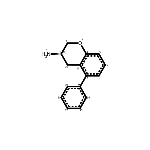 N[C@H]1COc2cccc(-c3ccccc3)c2C1